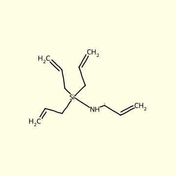 C=C[CH]N[Si](CC=C)(CC=C)CC=C